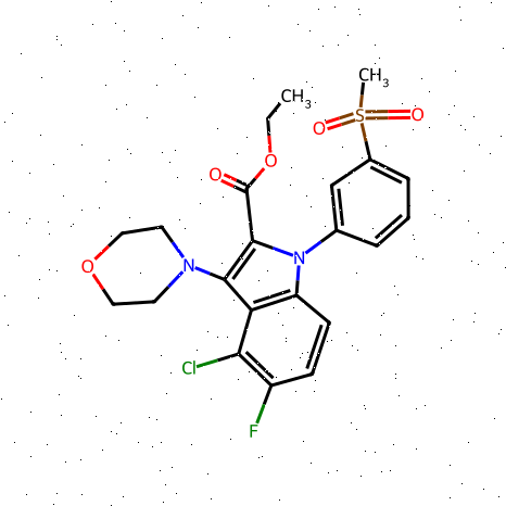 CCOC(=O)c1c(N2CCOCC2)c2c(Cl)c(F)ccc2n1-c1cccc(S(C)(=O)=O)c1